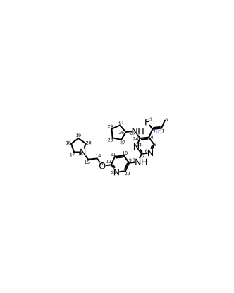 C/C=C(\F)c1cnc(Nc2ccc(OCCN3CCCC3)nc2)nc1NC1CCCC1